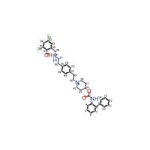 O=C(Nc1ccccc1-c1ccccc1)OC1CCN(CCc2ccc(CCNCc3cc(F)cc(F)c3O)cc2)CC1